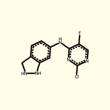 Fc1cnc(Cl)nc1Nc1ccc2c(c1)NNC2